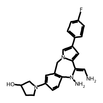 N/C=C1/c2cc(-c3ccc(F)cc3)cn2Cc2cc(N3CCC(O)C3)ccc2N1N